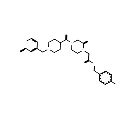 C=C/C=C(\C=C/N)CN1CCC(C(=O)N2CCN(CC(=O)NCc3ccc(Cl)cc3)C(=O)C2)CC1